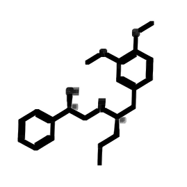 CCC[C@H](Cc1ccc(OC)c(OC)c1)NC[C@H](O)c1ccccc1